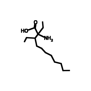 CCCCCCCCC(CC)C(N)(CC)C(=O)O